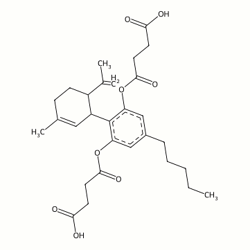 C=C(C)C1CCC(C)=CC1c1c(OC(=O)CCC(=O)O)cc(CCCCC)cc1OC(=O)CCC(=O)O